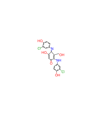 O=C1C=C(O)/C(=N\c2ccc(O)c(Cl)c2)C(CO)=C1Nc1ccc(O)c(Cl)c1